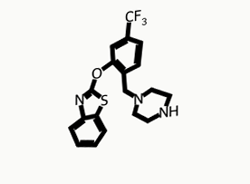 FC(F)(F)c1ccc(CN2CCNCC2)c(Oc2nc3ccccc3s2)c1